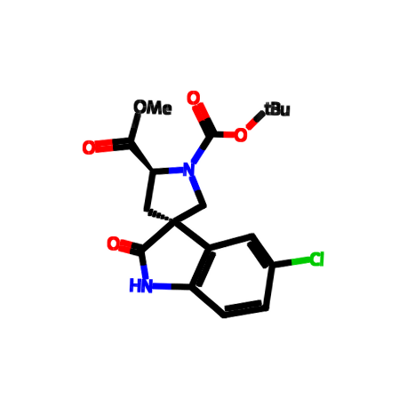 COC(=O)[C@@H]1C[C@@]2(CN1C(=O)OC(C)(C)C)C(=O)Nc1ccc(Cl)cc12